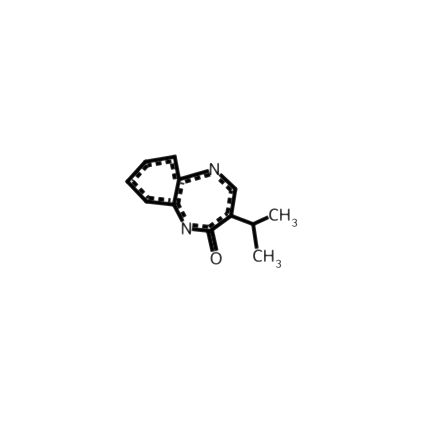 CC(C)c1cnc2ccccc2nc1=O